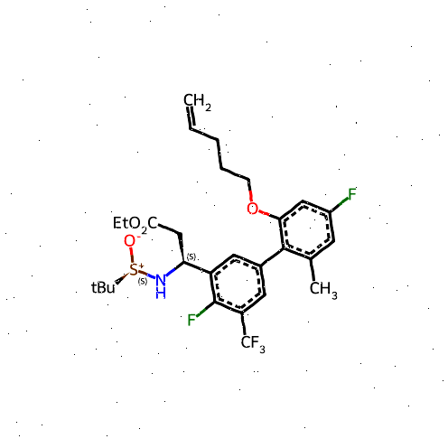 C=CCCCOc1cc(F)cc(C)c1-c1cc([C@H](CC(=O)OCC)N[S@+]([O-])C(C)(C)C)c(F)c(C(F)(F)F)c1